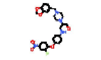 O=CC(CNc1ccc(Oc2ccc([N+](=O)[O-])cc2F)cc1)N1CCN(Cc2ccc3c(c2)OCO3)CC1